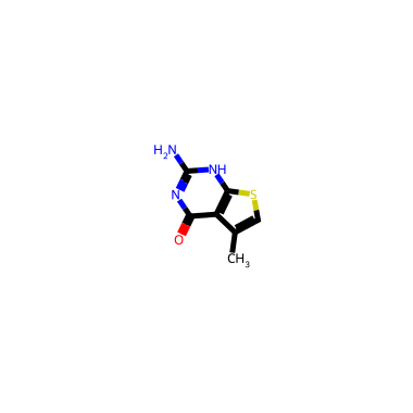 Cc1csc2[nH]c(N)nc(=O)c12